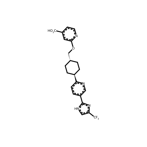 O=C(O)c1ccnc(OC[C@H]2CC[C@H](c3ccc(-c4nc(C(F)(F)F)c[nH]4)cn3)CC2)c1